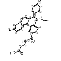 CCC[C@H](c1ccc(C(=O)NCCC(=O)O)cc1)C(c1ccc(Cl)cc1)c1cnc2cc(C)ccc2c1